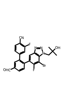 CC(C)(O)Cn1nnc2cc(-c3ccc(C=O)cc3-c3ccc(C#N)c(F)c3)c(F)c(Br)c21